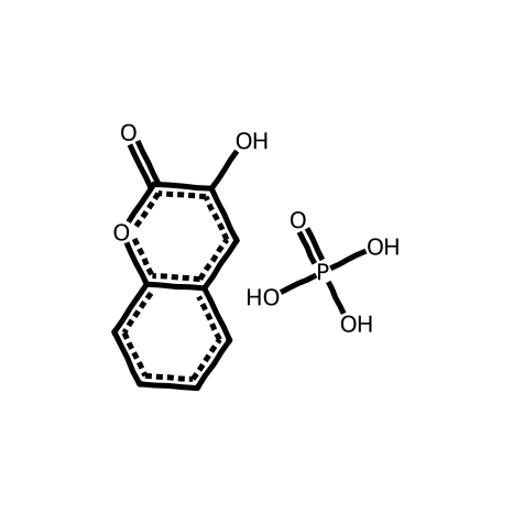 O=P(O)(O)O.O=c1oc2ccccc2cc1O